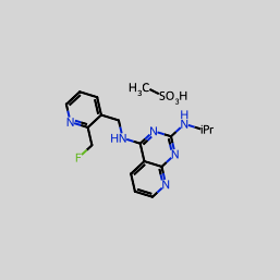 CC(C)Nc1nc(NCc2cccnc2CF)c2cccnc2n1.CS(=O)(=O)O